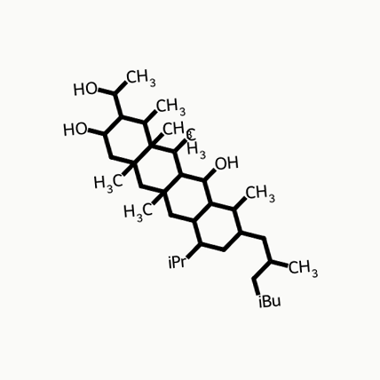 CCC(C)CC(C)CC1CC(C(C)C)C2CC3(C)CC4(C)CC(O)C(C(C)O)C(C)C4(C)C(C)C3C(O)C2C1C